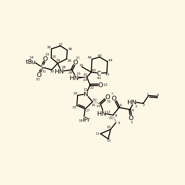 C=CCNC(=O)C(=O)[C@H](CC1CC1)NC(=O)[C@@H]1C(C(C)C)=CCN1C(=O)[C@@H](NC(=O)NC1(CS(=O)(=O)C(C)(C)C)CCCCC1)C1(C)CCCCC1